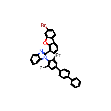 CC(C)c1cc(-c2ccc(-c3ccccc3)cc2)cc(C(C)C)c1-n1c(-c2cccc3c2oc2cc(Br)ccc23)nc2ccccc21